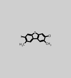 Cc1cc2c(cc1Cl)sc1cc(I)c(C)cc12